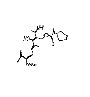 C=C(C)\C(=C/C=C(C)/C(O)=C(\COC(=O)N(C)C1CCCC1)C(C)=N)OC